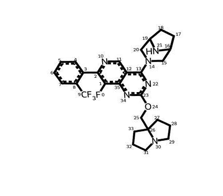 Fc1c(-c2ccccc2C(F)(F)F)ncc2c(N3CC4CCC(C3)N4)nc(OCC34CCCN3CCC4)nc12